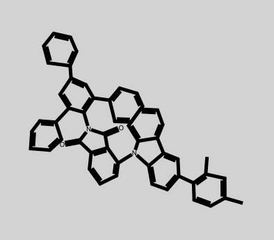 Cc1ccc(-c2ccc3c(c2)c2ccccc2n3-c2cccc3c2C(=O)N(c2c(-c4ccccc4)cc(-c4ccccc4)cc2-c2ccccc2)C3=O)c(C)c1